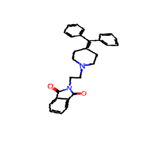 O=C1c2ccccc2C(=O)N1CCN1CCC(=C(c2ccccc2)c2ccccc2)CC1